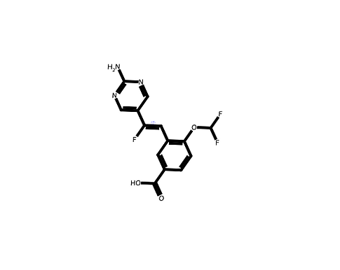 Nc1ncc(/C(F)=C/c2cc(C(=O)O)ccc2OC(F)F)cn1